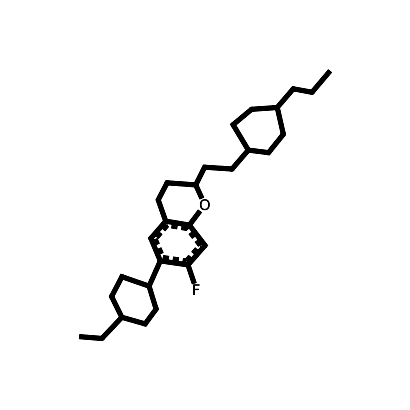 CCCC1CCC(CCC2CCc3cc(C4CCC(CC)CC4)c(F)cc3O2)CC1